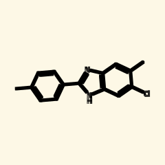 Cc1ccc(-c2nc3cc(C)c(Cl)cc3[nH]2)cc1